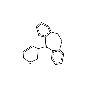 C1=CC(N2c3ccccc3CCc3ccccc32)COC1